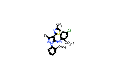 CCc1nn(-c2ccccc2OC)c(Nc2ccc(Cl)cc2C(=O)O)c1-c1nc(C)cs1